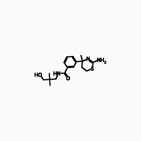 CC(C)(CO)CNC(=O)c1cccc(C2(C)CCSC(N)=N2)c1